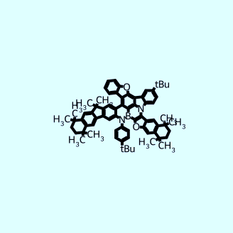 CC(C)(C)c1ccc(N2B3c4oc5cc6c(cc5c4-n4c5ccc(C(C)(C)C)cc5c5c7oc8ccccc8c7c(c3c54)-c3cc4c(cc32)-c2cc3c(cc2C4(C)C)C(C)(C)CCC3(C)C)C(C)(C)CCC6(C)C)cc1